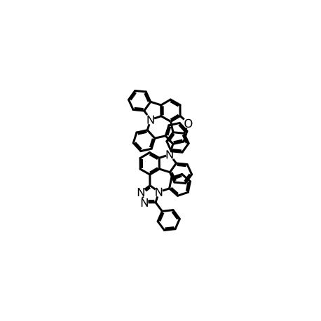 c1ccc(-c2nnc(-c3cccc4c3c3ccccc3n4-c3ccccc3-c3ccccc3-n3c4ccccc4c4ccc5oc6ccccc6c5c43)n2-c2ccccc2)cc1